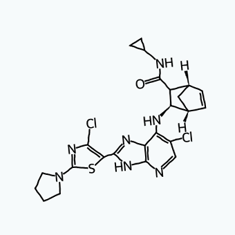 O=C(NC1CC1)C1[C@@H]2C=C[C@@H](C2)[C@H]1Nc1c(Cl)cnc2[nH]c(-c3sc(N4CCCC4)nc3Cl)nc12